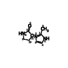 Cc1ncc[nH]1.O=C1NCCO1